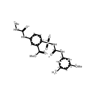 COC(=O)c1cc(NC(=O)NC(C)(C)C)ccc1S(=O)(=O)NC(=O)Nc1nc(C)cc(OC)n1